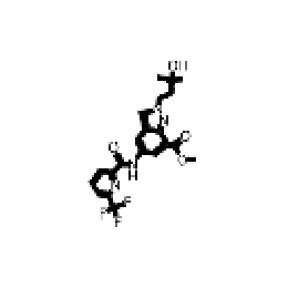 COC(=O)c1cc(NC(=O)c2cccc(C(F)(F)F)n2)cc2cn(CCC(C)(C)O)nc12